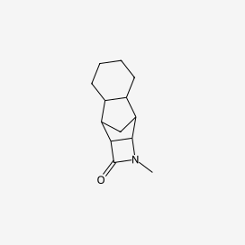 CN1C(=O)C2C3CC(C4CCCCC43)C21